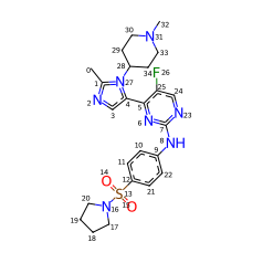 Cc1ncc(-c2nc(Nc3ccc(S(=O)(=O)N4CCCC4)cc3)ncc2F)n1C1CCN(C)CC1